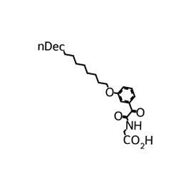 CCCCCCCCCCCCCCCCCCOc1cccc(C(=O)C(=O)NCC(=O)O)c1